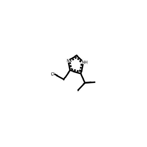 CC(C)c1[nH]cnc1CCl